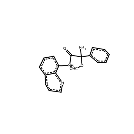 NC(OC=O)(C(=O)Nc1cccc2cccnc12)c1ccccc1